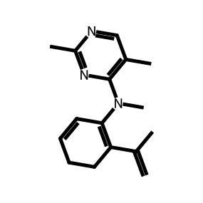 C=C(C)C1=C(N(C)c2nc(C)ncc2C)C=CCC1